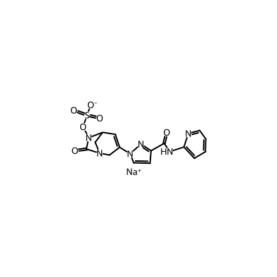 O=C(Nc1ccccn1)c1ccn(C2=CC3CN(C2)C(=O)N3OS(=O)(=O)[O-])n1.[Na+]